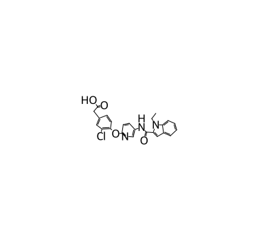 CCn1c(C(=O)Nc2ccc(Oc3ccc(CC(=O)O)cc3Cl)nc2)cc2ccccc21